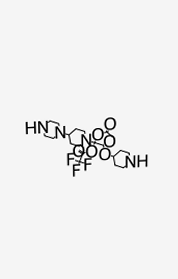 CC(=O)OC(OC(=O)C(F)(F)F)(C(=O)OC1CCNCC1)N1CCC(N2CCNCC2)CC1